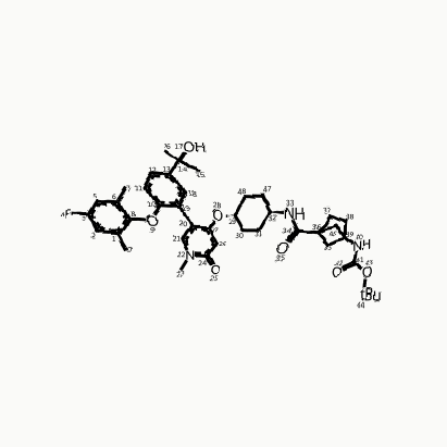 Cc1cc(F)cc(C)c1Oc1ccc(C(C)(C)O)cc1-c1cn(C)c(=O)cc1O[C@H]1CC[C@H](NC(=O)C23CCC(NC(=O)OC(C)(C)C)(C2)C3)CC1